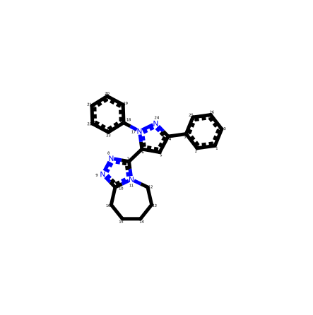 c1ccc(-c2cc(-c3nnc4n3CCCCC4)n(-c3ccccc3)n2)cc1